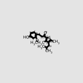 COc1cc(O)ccc1CCC(=O)c1sc(C)c(CC(C)C)c1C